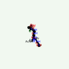 CCC(C)(CNC(C)=O)C[C@H](NC(=O)[C@@H](NCCNC(=O)CCCN1C(=O)C=CC1=O)C(C)C)C(=O)Nc1ccc(C(=O)Nc2ccc3[nH]c(C(=O)N4C[C@@H](CCl)c5c4cc(OP(=O)(O)O)c4ccccc54)cc3c2)cc1